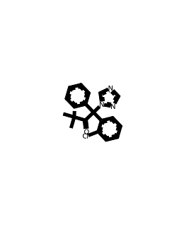 CC(C)(C)C(=O)C(c1ccccc1)(c1ccccc1Cl)n1cncn1